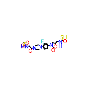 CS(=O)(=O)NCC(=O)N1CCN(c2ccc(N3CC(CNC(=O)S)OC3=O)cc2F)CC1